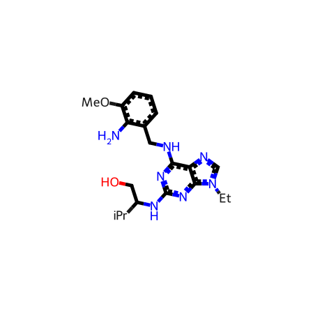 CCn1cnc2c(NCc3cccc(OC)c3N)nc(NC(CO)C(C)C)nc21